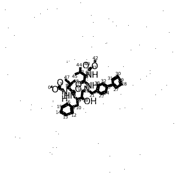 COC(=O)N[C@H](C(=O)NC(Cc1ccccc1)C(O)CN(Cc1ccc(-c2ccccc2)cc1)NC(=O)[C@@H](NC(=O)OC)C(C)C)C(C)C